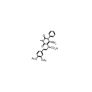 CC(=O)Oc1ccc(C=CN(C(=O)O)c2c(N)n(-c3ccccc3)c(=O)n(C)c2=O)cc1OC(C)=O